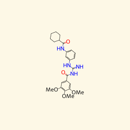 COc1cc(C(=O)NC(=N)Nc2cccc(NC(=O)C3CCCCC3)c2)cc(OC)c1OC